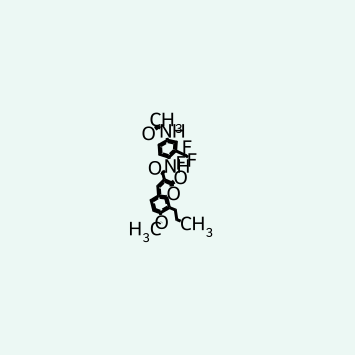 CCCc1c(OC)ccc2cc(C(=O)Nc3ccc(NC(C)=O)cc3C(F)(F)F)c(=O)oc12